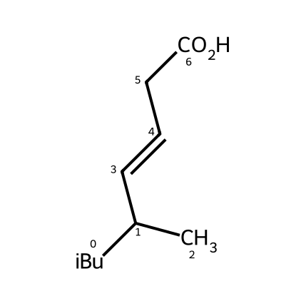 CCC(C)C(C)C=CCC(=O)O